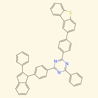 C1=C(c2ccccc2)C(c2ccc(-c3nc(-c4ccccc4)nc(-c4ccc(-c5ccc6sc7ccccc7c6c5)cc4)n3)cc2)c2ccccc21